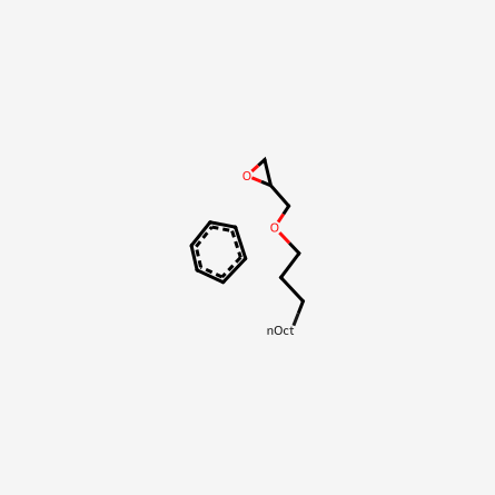 CCCCCCCCCCCOCC1CO1.c1ccccc1